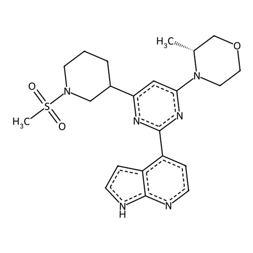 C[C@@H]1COCCN1c1cc(C2CCCN(S(C)(=O)=O)C2)nc(-c2ccnc3[nH]ccc23)n1